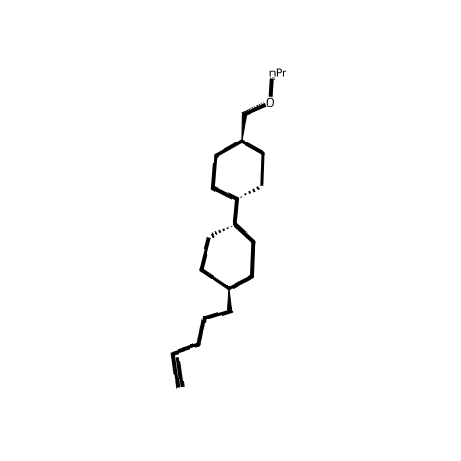 C=CCCC[C@H]1CC[C@H]([C@H]2CC[C@H](COCCC)CC2)CC1